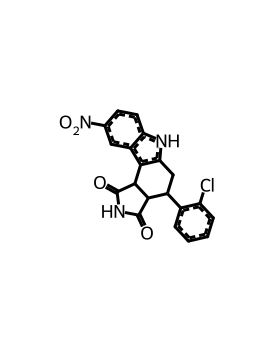 O=C1NC(=O)C2C(c3ccccc3Cl)Cc3[nH]c4ccc([N+](=O)[O-])cc4c3C12